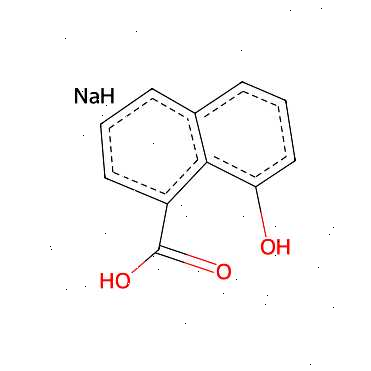 O=C(O)c1cccc2cccc(O)c12.[NaH]